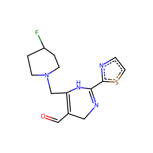 O=CC1=C(CN2CCC(F)CC2)NC(c2nccs2)=NC1